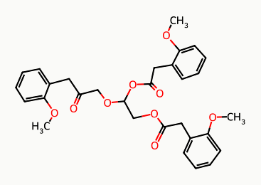 COc1ccccc1CC(=O)COC(COC(=O)Cc1ccccc1OC)OC(=O)Cc1ccccc1OC